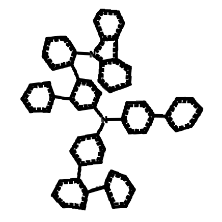 c1ccc(-c2ccc(N(c3ccc(-c4ccccc4-c4ccccc4)cc3)c3ccc(-c4ccccc4-n4c5ccccc5c5ccccc54)c(-c4ccccc4)c3)cc2)cc1